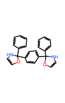 C1=COC(c2ccccc2)(c2ccc(C3(c4ccccc4)NC=CO3)cc2)N1